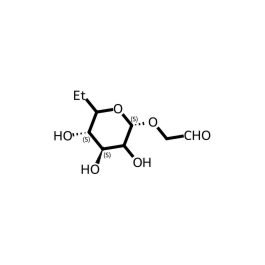 CCC1O[C@H](OCC=O)C(O)[C@@H](O)[C@@H]1O